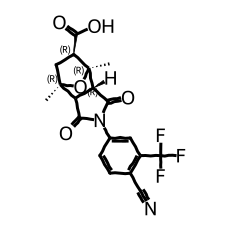 C[C@]12O[C@](C)(C[C@H]1C(=O)O)C1C(=O)N(c3ccc(C#N)c(C(F)(F)F)c3)C(=O)[C@H]12